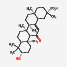 CC1(C)C2CC[C@]3(C)C(C(=O)C=C4C5C[C@@](C)(C(=O)O)CC[C@]5(C)CC[C@@]43C)[C@@]2(C)CC[C@@H]1O